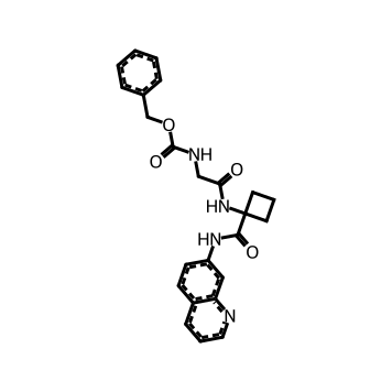 O=C(CNC(=O)OCc1ccccc1)NC1(C(=O)Nc2ccc3cccnc3c2)CCC1